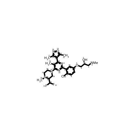 CNC[C@H](O)COc1ccc(Cl)c(-c2nc(-c3c(C)noc3C)c(C)c(N3CCN(C)C(C(F)F)C3)n2)c1